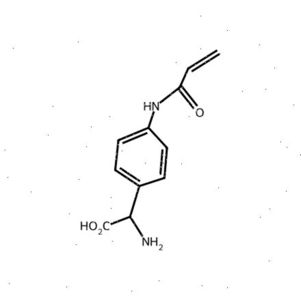 C=CC(=O)Nc1ccc(C(N)C(=O)O)cc1